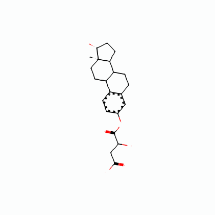 C[C@]12CCC3c4ccc(OC(=O)C(O)CC(=O)O)cc4CCC3C1CC[C@@H]2O